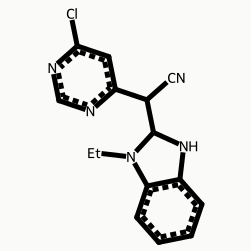 CCN1c2ccccc2NC1C(C#N)c1cc(Cl)ncn1